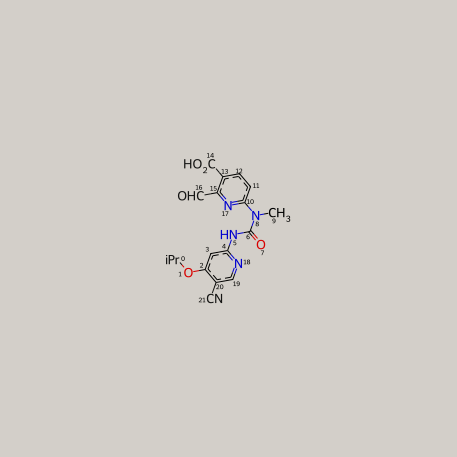 CC(C)Oc1cc(NC(=O)N(C)c2ccc(C(=O)O)c(C=O)n2)ncc1C#N